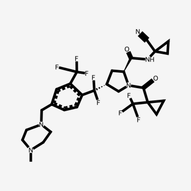 CN1CCN(Cc2ccc(C(F)(F)[C@@H]3C[C@@H](C(=O)NC4(C#N)CC4)N(C(=O)C4(C(F)(F)F)CC4)C3)c(C(F)(F)F)c2)CC1